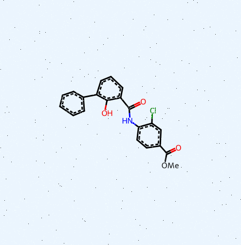 COC(=O)c1ccc(NC(=O)c2cccc(-c3ccccc3)c2O)c(Cl)c1